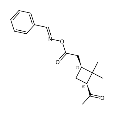 CC(=O)[C@H]1C[C@@H](CC(=O)ON=Cc2ccccc2)C1(C)C